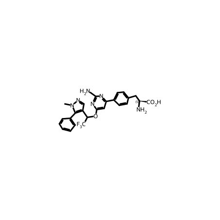 Cn1ncc(C(Oc2cc(-c3ccc(C[C@H](N)C(=O)O)cc3)nc(N)n2)C(F)(F)F)c1-c1ccccc1